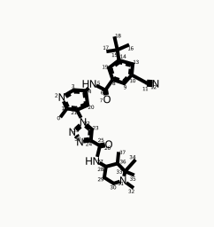 Cc1ncc(NC(=O)c2cc(C#N)cc(C(C)(C)C)c2)cc1-n1cc(C(=O)NC2CCN(C)C(C)(C)C2C)nn1